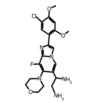 COc1cc(OC)c(-c2cn3cc(C(N)CN)c(N4CCOCC4)c(F)c3n2)cc1Cl